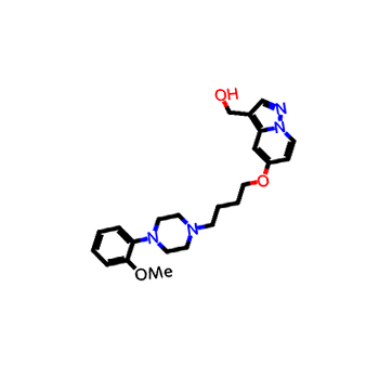 COc1ccccc1N1CCN(CCCCOc2ccn3ncc(CO)c3c2)CC1